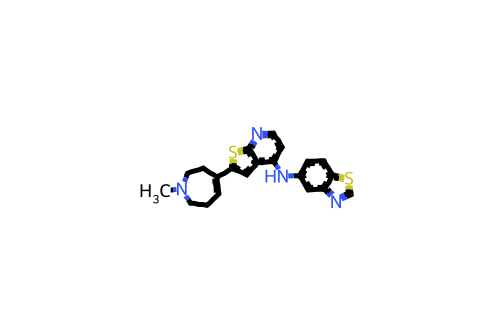 CN1CCC=C(c2cc3c(Nc4ccc5scnc5c4)ccnc3s2)CC1